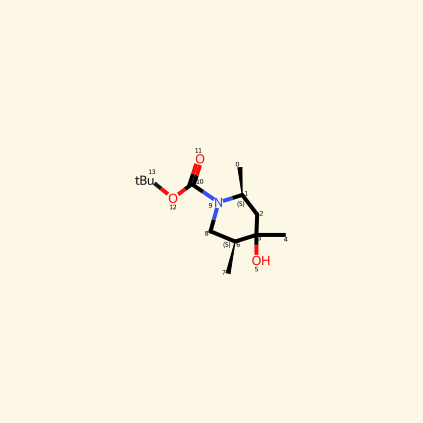 C[C@H]1CC(C)(O)[C@@H](C)CN1C(=O)OC(C)(C)C